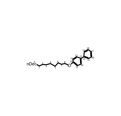 CCCCCCCCCCCCCCCCCCOc1ccc(-c2cc[c]cc2)cc1